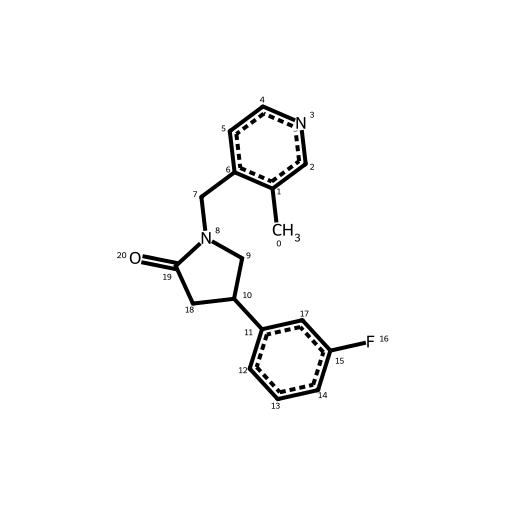 Cc1cnccc1CN1CC(c2cccc(F)c2)CC1=O